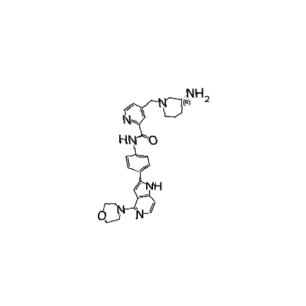 N[C@@H]1CCCN(Cc2ccnc(C(=O)Nc3ccc(-c4cc5c(N6CCOCC6)nccc5[nH]4)cc3)c2)C1